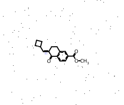 COC(=O)c1ccc2c(c1)CC/C(=C\C1CCC1)C2=O